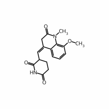 COc1cccc2c1N(C)C(=O)C/C2=C/C1CCC(=O)NC1=O